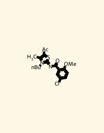 CCCCn1c(C)c(C(C)=O)s/c1=N\C(=O)c1cc(Cl)ccc1OC